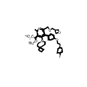 Cc1nc(COCC2COC2)c(-c2ccc(OCCc3ccc(F)cc3)cc2)c(N2CCC3(CCC3)CC2)c1[C@H](OC(C)(C)C)C(=O)O